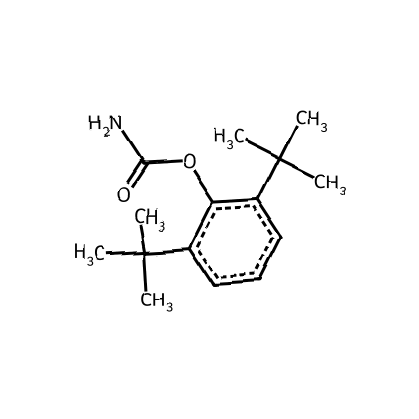 CC(C)(C)c1cccc(C(C)(C)C)c1OC(N)=O